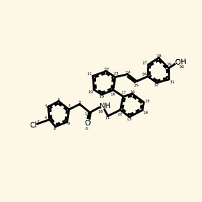 O=C(Cc1ccc(Cl)cc1)NCc1ccccc1-c1ccccc1/C=C/c1ccc(O)cc1